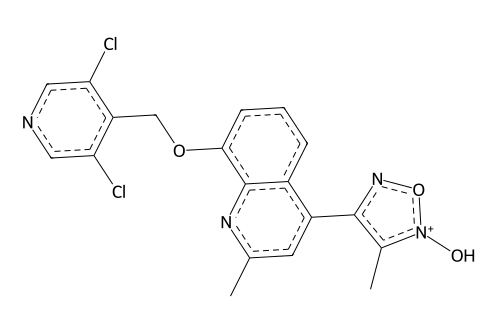 Cc1cc(-c2no[n+](O)c2C)c2cccc(OCc3c(Cl)cncc3Cl)c2n1